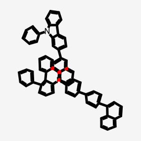 c1ccc(-c2ccccc2-c2c(-c3ccccc3)cccc2N(c2ccc(-c3ccc(-c4cccc5ccccc45)cc3)cc2)c2ccc(-c3ccc4c5ccccc5n(-c5ccccc5)c4c3)cc2)cc1